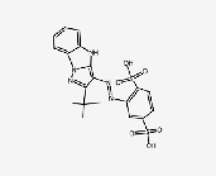 CC(C)(C)c1nn2c([nH]c3ccccc32)c1/N=N/c1cc(S(=O)(=O)O)ccc1S(=O)(=O)O